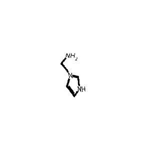 NCN1C=CNC1